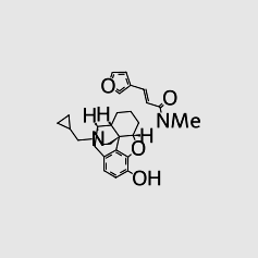 CNC(=O)/C=C/c1ccoc1.Oc1ccc2c3c1O[C@H]1CCC[C@H]4[C@@H](C2)N(CC2CC2)CC[C@]314